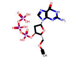 C#COC[C@H]1O[C@@H](n2cnc3c(=O)[nH]c(N)nc32)C[C@@H]1OP(=O)(O)OP(=O)(O)OP(=O)(O)O